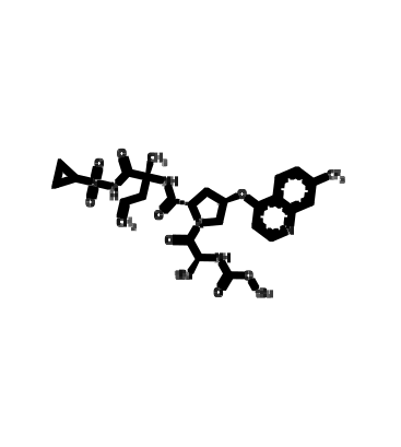 C=CC[C@@](C)(NC(=O)[C@@H]1C[C@@H](Oc2ccnc3cc(C(F)(F)F)ccc23)CN1C(=O)[C@@H](NC(=O)OC(C)(C)C)C(C)(C)C)C(=O)NS(=O)(=O)C1CC1